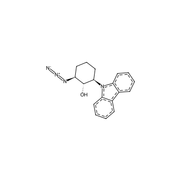 [N-]=[N+]=N[C@H]1CCC[C@@H](n2c3ccccc3c3ccccc32)[C@@H]1O